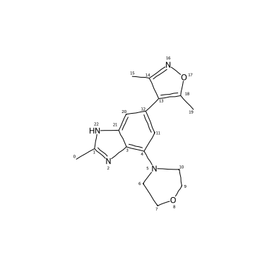 Cc1nc2c(N3CCOCC3)cc(-c3c(C)noc3C)cc2[nH]1